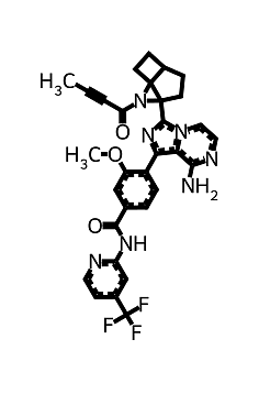 CC#CC(=O)N1C2(c3nc(-c4ccc(C(=O)Nc5cc(C(F)(F)F)ccn5)cc4OC)c4c(N)nccn34)CCC3CCC312